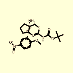 COc1ccc([N+](=O)[O-])cc1[C@]12CCC[C@@]1(N)CSC(NC(=O)OC(C)(C)C)=N2